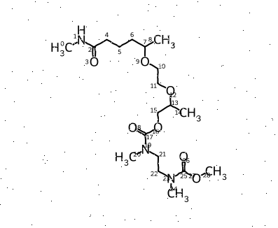 CNC(=O)CCCC(C)OCCOC(C)COC(=O)N(C)CCN(C)C(=O)OC